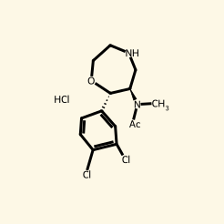 CC(=O)N(C)[C@@H]1CNCCO[C@H]1c1ccc(Cl)c(Cl)c1.Cl